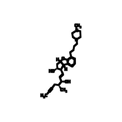 CC#CC[C@@H](C)[C@H](O)/C=C/[C@@H]1[C@H]2c3cccc(CCCCN4CCN(C)CC4)c3O[C@H]2C[C@H]1O